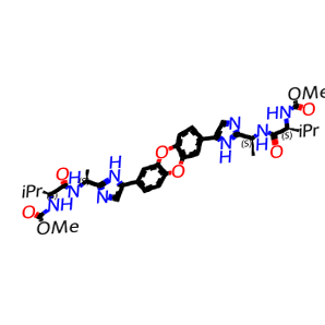 COC(=O)N[C@H](C(=O)N[C@@H](C)c1ncc(-c2ccc3c(c2)Oc2ccc(-c4cnc([C@H](C)NC(=O)[C@@H](NC(=O)OC)C(C)C)[nH]4)cc2O3)[nH]1)C(C)C